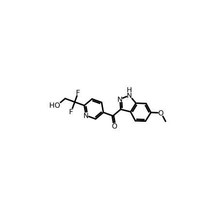 COc1ccc2c(C(=O)c3ccc(C(F)(F)CO)nc3)n[nH]c2c1